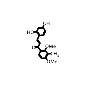 COc1ccc(C(=O)C=Cc2ccc(O)cc2O)c(OC)c1C